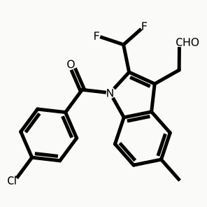 Cc1ccc2c(c1)c(CC=O)c(C(F)F)n2C(=O)c1ccc(Cl)cc1